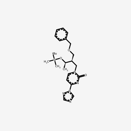 C[C@@H](O[Si](C)(C)C(C)(C)C)[C@@H](COCc1ccccc1)Cn1ccc(-n2cncn2)nc1=O